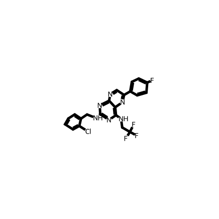 Fc1ccc(-c2cnc3nc(NCc4ccccc4Cl)nc(NCC(F)(F)F)c3n2)cc1